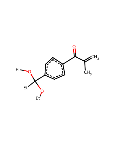 C=C(C)C(=O)c1ccc(C(CC)(OCC)OCC)cc1